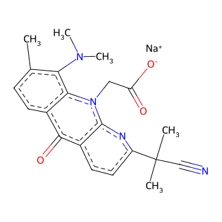 Cc1ccc2c(=O)c3ccc(C(C)(C)C#N)nc3n(CC(=O)[O-])c2c1N(C)C.[Na+]